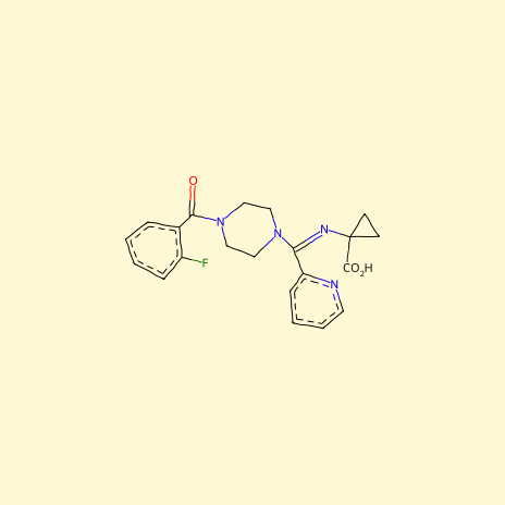 O=C(c1ccccc1F)N1CCN(/C(=N/C2(C(=O)O)CC2)c2ccccn2)CC1